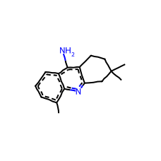 Cc1cccc2c(N)c3c(nc12)CC(C)(C)CC3